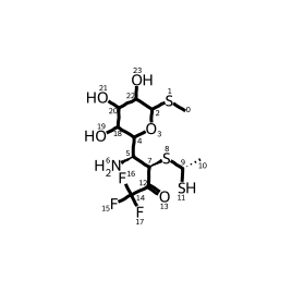 CSC1OC([C@H](N)[C@@H](S[C@H](C)S)C(=O)C(F)(F)F)C(O)C(O)C1O